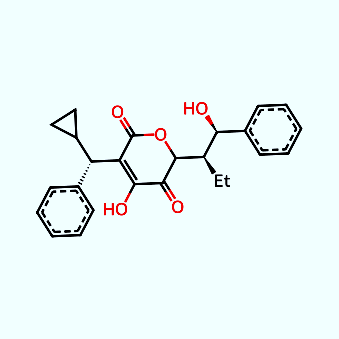 CC[C@@H](C1OC(=O)C([C@H](c2ccccc2)C2CC2)=C(O)C1=O)[C@@H](O)c1ccccc1